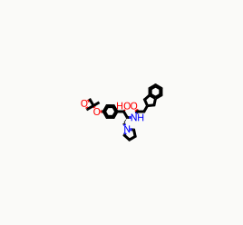 CC1(Oc2ccc([C@@H](O)[C@@H](CN3CCCC3)NC(=O)CC3Cc4ccccc4C3)cc2)COC1